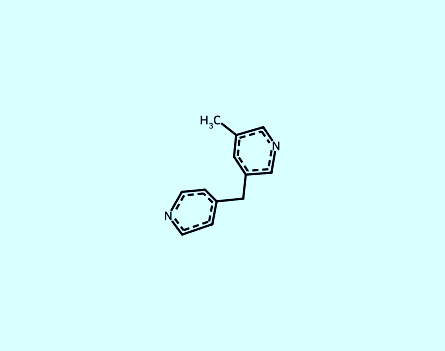 Cc1cncc(Cc2ccncc2)c1